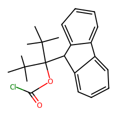 CC(C)(C)C(OC(=O)Cl)(C1c2ccccc2-c2ccccc21)C(C)(C)C